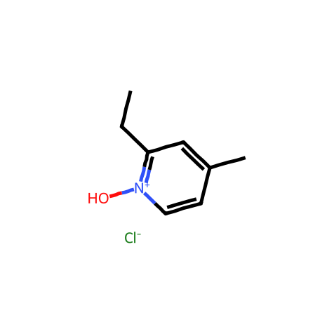 CCc1cc(C)cc[n+]1O.[Cl-]